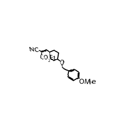 CCOC(=O)/C(C#N)=C\C1CCC(OCc2ccc(OC)cc2)CC1